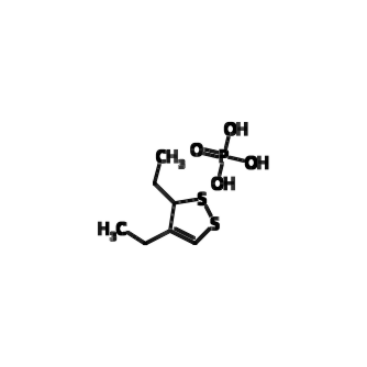 CCC1=CSSC1CC.O=P(O)(O)O